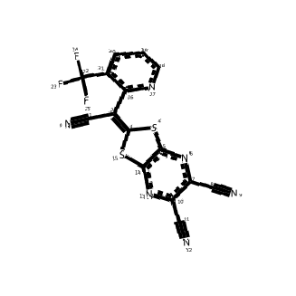 N#CC(=C1Sc2nc(C#N)c(C#N)nc2S1)c1ncccc1C(F)(F)F